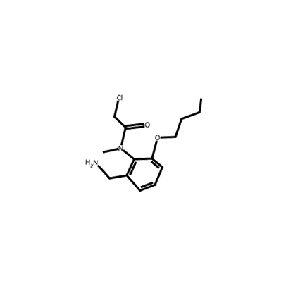 CCCCOc1cccc(CN)c1N(C)C(=O)CCl